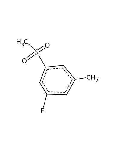 [CH2]c1cc(F)cc(S(C)(=O)=O)c1